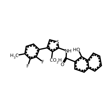 Cc1ccc(-c2csc(NC(=O)c3ccc4ccccc4c3O)c2C(=O)O)c(F)c1F